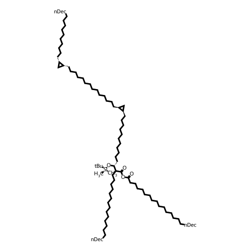 CCCCCCCCCCCCCCCCCCCCCCCCCC(=O)OC(=O)C(CCCCCCCCCCCCCCCCCCCCCCCC)[C@@H](CCCCCCCCCCC[C@@H]1C[C@@H]1CCCCCCCCCCCCCC[C@@H]1C[C@@H]1CCCCCCCCCCCCCCCCCCCC)O[Si](C)(C)C(C)(C)C